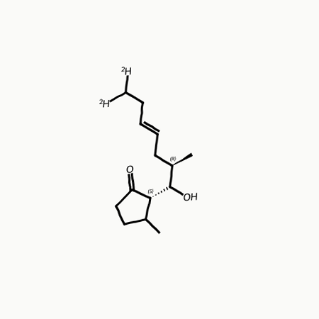 [2H]C([2H])CC=CC[C@@H](C)C(O)[C@H]1C(=O)CCC1C